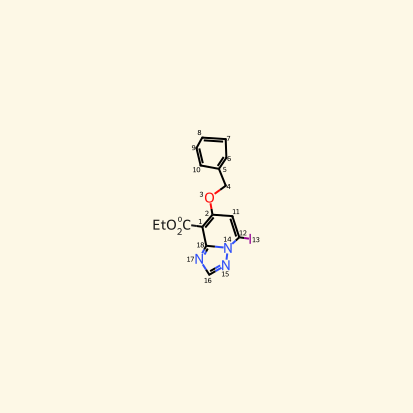 CCOC(=O)c1c(OCc2ccccc2)cc(I)n2ncnc12